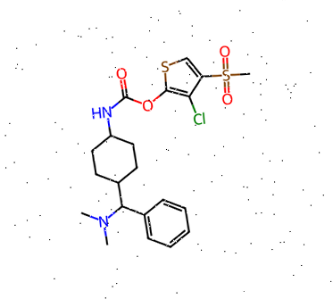 CN(C)C(c1ccccc1)C1CCC(NC(=O)Oc2scc(S(C)(=O)=O)c2Cl)CC1